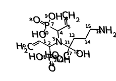 C=CC(N(C(C=C)P(=O)(O)O)C(O)(CCCN)C(=O)O)P(=O)(O)O